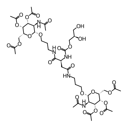 CC(=O)N[C@H]1[C@H](OCCCNC(=O)C[C@H](NC(=O)OC[C@H](O)CO)C(=O)NCCCO[C@@H]2O[C@H](COC(C)=O)[C@H](OC(C)=O)[C@H](OC(C)=O)[C@H]2NC(C)=O)O[C@H](COC(C)=O)[C@H](OC(C)=O)[C@@H]1OC(C)=O